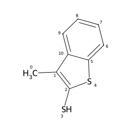 Cc1c(S)sc2ccccc12